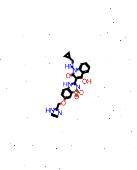 O=c1c(C2=NS(=O)(=O)c3cc(OCc4ncc[nH]4)ccc3N2)c(O)c2ccccc2n1NCC1CC1